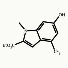 CCOC(=O)c1cc2c(C(F)(F)F)cc(O)cc2n1C